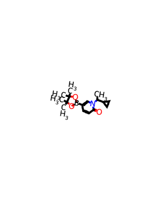 CC(C1CC1)n1cc(B2OC(C)(C)C(C)(C)O2)ccc1=O